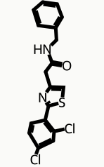 O=C(Cc1csc(-c2ccc(Cl)cc2Cl)n1)NCc1ccccc1